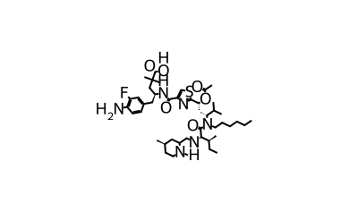 CCCCCCN(C(=O)[C@@H](NCC1C[C@H](C)CCN1C)[C@@H](C)CC)[C@H](C[C@@H](OC(C)=O)c1nc(C(=O)N[C@@H](Cc2ccc(N)c(F)c2)CC(C)(C)C(=O)O)cs1)C(C)C